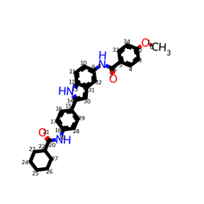 COc1ccc(C(=O)Nc2ccc3[nH]c(-c4ccc(NC(=O)C5CCCCC5)cc4)cc3c2)cc1